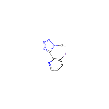 Cn1nnnc1-c1ncccc1I